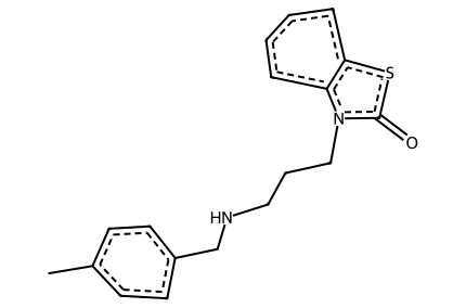 Cc1ccc(CNCCCn2c(=O)sc3ccccc32)cc1